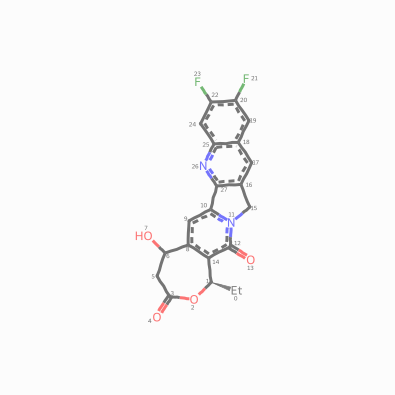 CC[C@H]1OC(=O)CC(O)c2cc3n(c(=O)c21)Cc1cc2cc(F)c(F)cc2nc1-3